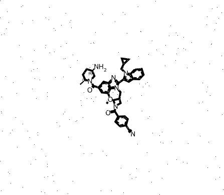 COc1cc(C(=O)N2C[C@H](N)CC[C@@H]2C)cc2nc(-c3cc4ccccc4n3CC3CC3)n(CC3CN(C(=O)c4ccc(C#N)cc4)C3)c12